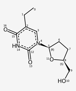 CCc1cn([C@H]2CC[C@@H]([CH]O)O2)c(=O)[nH]c1=O